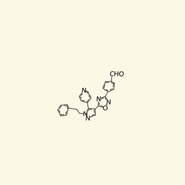 O=Cc1ccc(-c2noc(-c3cnn(CCc4ccccc4)c3-c3ccncc3)n2)cc1